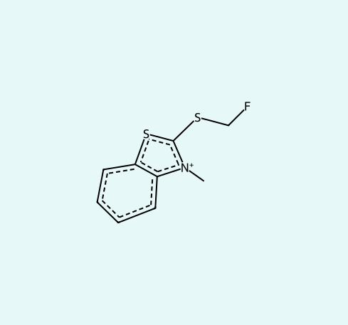 C[n+]1c(SCF)sc2ccccc21